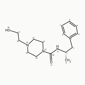 [CH2][C@@H](Cc1ccccc1)NC(=O)N1CCN(CCO)CC1